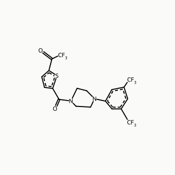 O=C(c1ccc(C(=O)C(F)(F)F)s1)N1CCN(c2cc(C(F)(F)F)cc(C(F)(F)F)c2)CC1